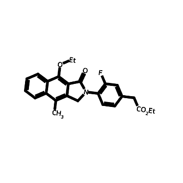 CCOC(=O)Cc1ccc(N2Cc3c(c(OCC)c4ccccc4c3C)C2=O)c(F)c1